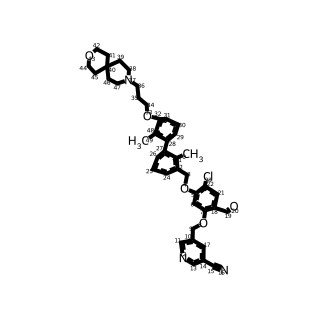 Cc1c(COc2cc(OCc3cncc(C#N)c3)c(C=O)cc2Cl)cccc1-c1cccc(OCCCN2CCC3(CCOCC3)CC2)c1C